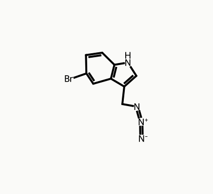 [N-]=[N+]=NCc1c[nH]c2ccc(Br)cc12